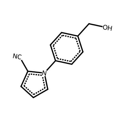 N#Cc1cccn1-c1ccc(CO)cc1